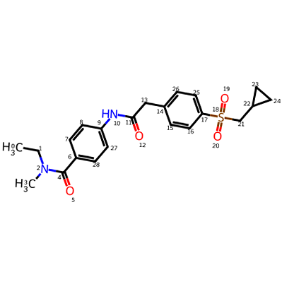 CCN(C)C(=O)c1ccc(NC(=O)Cc2ccc(S(=O)(=O)CC3CC3)cc2)cc1